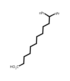 CCCC(CCC)CCCCCCCCCC(=O)O